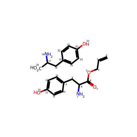 C=CCOC(=O)C(N)Cc1ccc(O)cc1.NC(Cc1ccc(O)cc1)C(=O)O